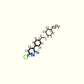 CCC[C@H]1CC[C@H](CCc2ccc(-c3ccc(Cl)nc3F)cc2)CC1